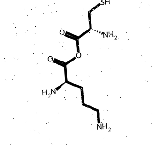 NCCC[C@@H](N)C(=O)OC(=O)[C@@H](N)CS